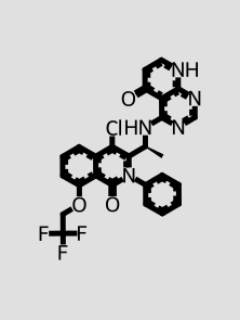 C[C@H](Nc1ncnc2[nH]ccc(=O)c12)c1c(Cl)c2cccc(OCC(F)(F)F)c2c(=O)n1-c1ccccc1